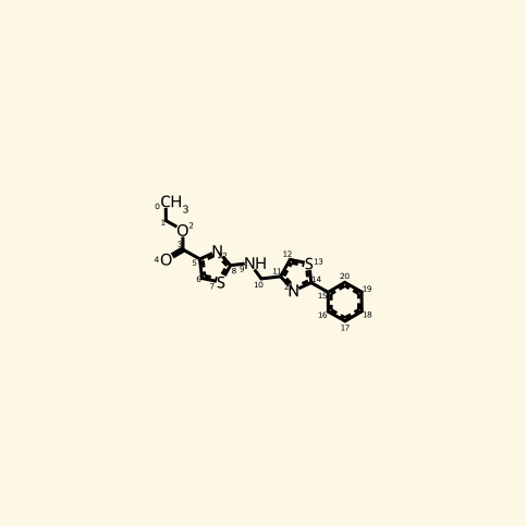 CCOC(=O)c1csc(NCc2csc(-c3ccccc3)n2)n1